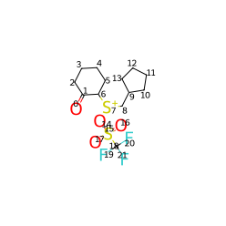 O=C1CCCCC1[S+](CC1CCCC1)OS(=O)(=O)C(F)(F)F